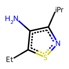 CCc1snc(C(C)C)c1N